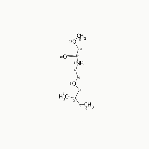 CCC(C)COCCNC(=O)COC